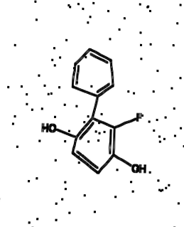 Oc1ccc(O)c(-c2ccccc2)c1F